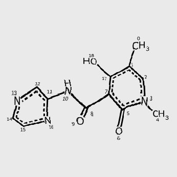 Cc1cn(C)c(=O)c(C(=O)Nc2cnccn2)c1O